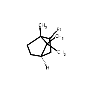 CC[C]1C[C@H]2CC[C@@]1(C)C2(C)C